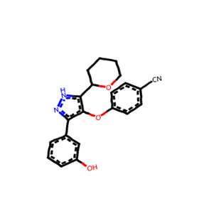 N#Cc1ccc(Oc2c(-c3cccc(O)c3)n[nH]c2C2CCCCO2)cc1